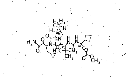 COC(=O)OC[C@@H](NC(=O)N[C@H](C(=O)N1C[C@H]2[C@@H]([C@H]1C(=O)NC(CC1CC1)C(=O)C(N)=O)C2(C)C)C(C)(C)C)C1CCC1